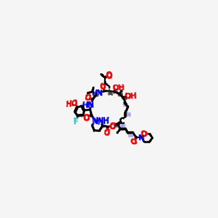 CC(=O)CC[C@H]1C(=O)N[C@@H](C(C)C)C(=O)NC(c2cc(O)cc(F)c2)C(=O)N2CCCC(N2)C(=O)O[C@H](/C(C)=C/C=C/C(=O)N2CCCCO2)C/C=C/C=C/[C@H](O)[C@H](C)[C@H]1O